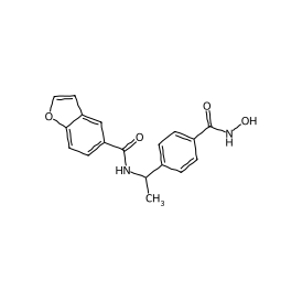 CC(NC(=O)c1ccc2occc2c1)c1ccc(C(=O)NO)cc1